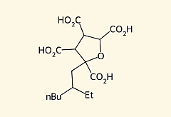 CCCCC(CC)CC1(C(=O)O)OC(C(=O)O)C(C(=O)O)C1C(=O)O